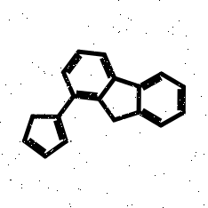 [C]1=C(c2cccc3c2Cc2ccccc2-3)CC=C1